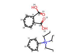 CC[N+](CC)(CC)c1ccccc1.O=C(O)c1ccccc1C(=O)O